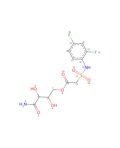 NC(=O)C(O)C(O)COC(=O)CS(=O)(=O)Nc1ccc(F)cc1F